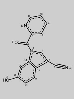 N#Cc1cn(C(=O)c2ccccn2)c2cc(O)ccc12